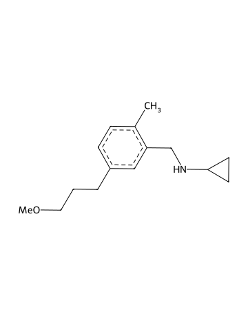 COCCCc1ccc(C)c(CNC2CC2)c1